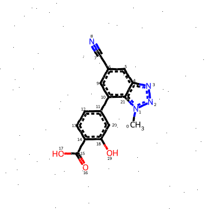 Cn1nnc2cc(C#N)cc(-c3ccc(C(=O)O)c(O)c3)c21